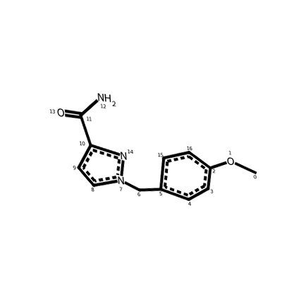 COc1ccc(Cn2ccc(C(N)=O)n2)cc1